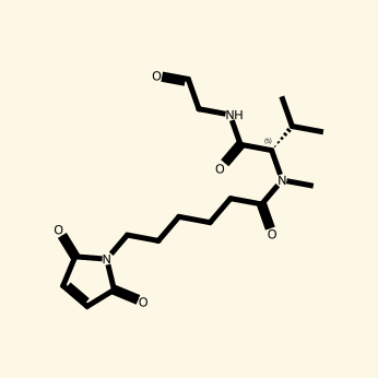 CC(C)[C@@H](C(=O)NCC=O)N(C)C(=O)CCCCCN1C(=O)C=CC1=O